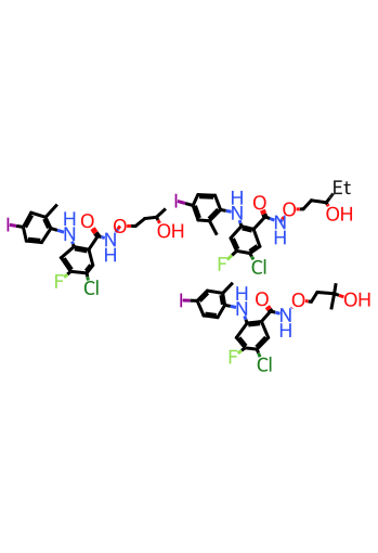 CCC(O)CCONC(=O)c1cc(Cl)c(F)cc1Nc1ccc(I)cc1C.Cc1cc(I)ccc1Nc1cc(F)c(Cl)cc1C(=O)NOCCC(C)(C)O.Cc1cc(I)ccc1Nc1cc(F)c(Cl)cc1C(=O)NOCCC(C)O